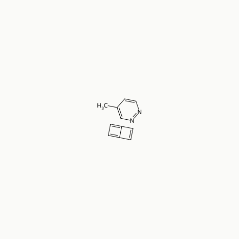 Cc1ccnnc1.c1cc2ccc1-2